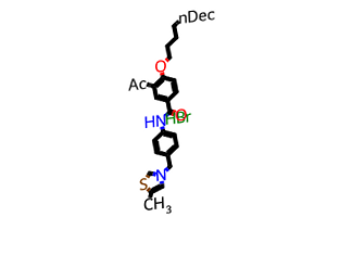 Br.CCCCCCCCCCCCCCOc1ccc(C(=O)Nc2ccc(CN3C=C(C)SC3)cc2)cc1C(C)=O